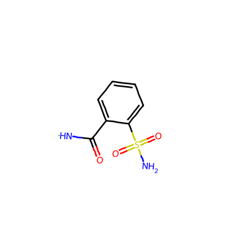 [NH]C(=O)c1ccccc1S(N)(=O)=O